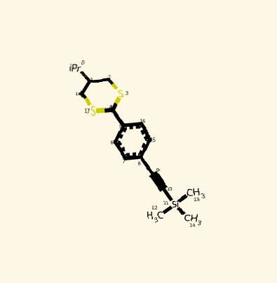 CC(C)C1CSC(c2ccc(C#C[Si](C)(C)C)cc2)SC1